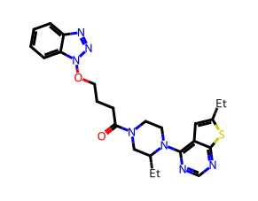 CCc1cc2c(N3CCN(C(=O)CCCOn4nnc5ccccc54)CC3CC)ncnc2s1